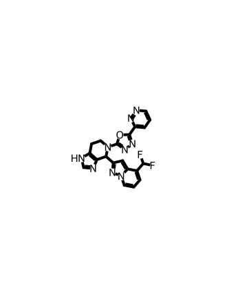 FC(F)c1cccn2nc(C3c4nc[nH]c4CCN3c3nnc(-c4cccnn4)o3)cc12